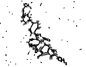 CCN1CCN(c2ccc(Nc3ncnc(Oc4ccc5[nH]c(C)cc5c4F)c3CN=O)cc2)CC1